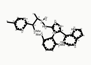 COc1cccc(OC)c1-n1c(N[S+]([O-])C(C)C(OC)c2ncc(C)cn2)nnc1-c1ncnc2cc[nH]c12